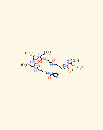 O=C(O)CCC(NC(=O)NC(CCCCNC(=O)CCCNC(=O)C(CCC(=O)O)NC(=O)C(CCC(=O)O)NC(=O)C(CCC(=O)O)NC(=O)CCCCCNC(=O)c1ccc(F)nc1)C(=O)O)C(=O)O